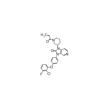 C=CC(=O)N1CCC[C@@H](n2c(=O)n(-c3ccc(Oc4cccc(F)c4Cl)cc3)c3cnccc32)C1